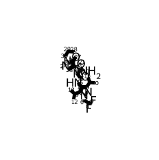 CC(C)c1nn(CC(F)F)c(C(C)C)c1NC(=O)N=[S@@](N)(=O)c1cnn2c1OCCC2